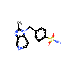 Cc1nc2cnccc2n1Cc1ccc(S(N)(=O)=O)cc1